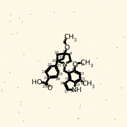 CCOC12CCN(Cc3c(OC)cc(C)c4[nH]ccc34)C(c3ccc(C(=O)O)cc3)(C1)C2